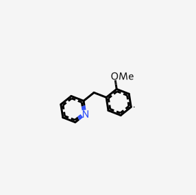 COc1c[c]ccc1Cc1ccccn1